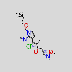 C=Nc1c(/C(Cl)=C(\C)C(=O)/C=C/N(C)OC)ccn1COCC[Si](C)(C)C